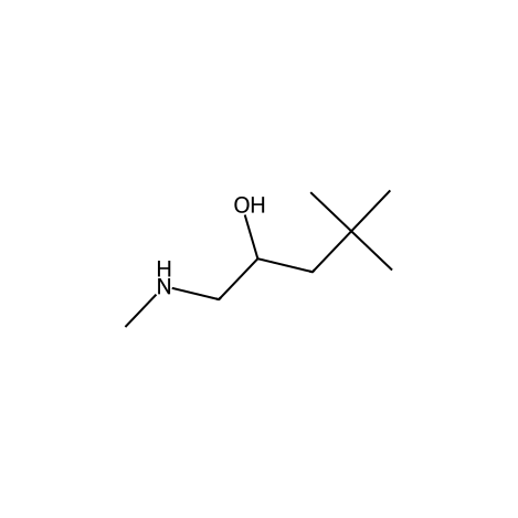 CNCC(O)CC(C)(C)C